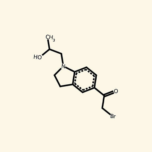 CC(O)CN1CCc2cc(C(=O)CBr)ccc21